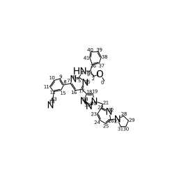 COC[C@@H](Nc1nc(-c2cccc(C#N)c2)cc(-c2cn(Cc3cccc(N4CCCC4)n3)nn2)n1)c1ccccc1